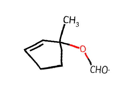 CC1(O[C]=O)C=CCC1